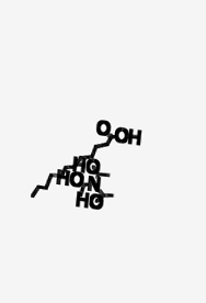 CC(O)N(C(C)O)C(C)O.CCCCCCCCCCCC(=O)O